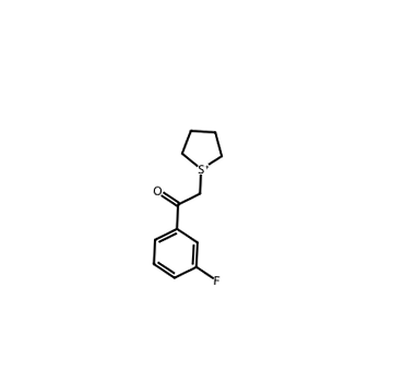 O=C(C[S+]1CCCC1)c1cccc(F)c1